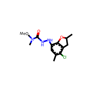 CON(C)C(=O)NNc1cc(C)c(Cl)c2c1OC(C)C2